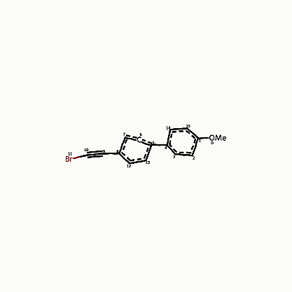 COc1ccc(-c2ccc(C#CBr)cc2)cc1